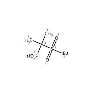 CC(C)(C)S(=O)(=O)C(C)(C)C(=O)O